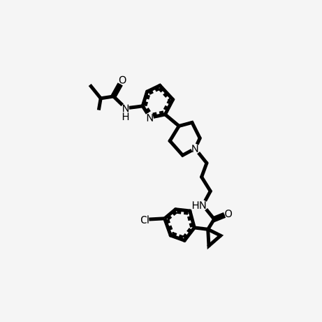 CC(C)C(=O)Nc1cccc(C2CCN(CCCNC(=O)C3(c4ccc(Cl)cc4)CC3)CC2)n1